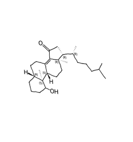 CC(C)CCC[C@@H](C)[C@H]1CC(=O)C2=C3CC[C@H]4CCCC(O)[C@]4(C)[C@H]3CC[C@@]21C